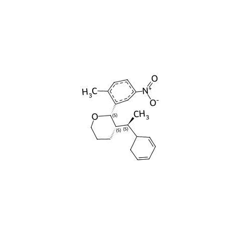 Cc1ccc([N+](=O)[O-])cc1[C@H]1OCCC[C@H]1[C@@H](C)C1C=CC=CC1